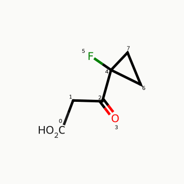 O=C(O)CC(=O)C1(F)CC1